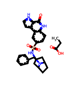 CCC(=O)O.O=c1[nH]c2ccc(S(=O)(=O)NC3CC4CCC(C3)N4Cc3ccccc3)cc2c2cc[nH]c12